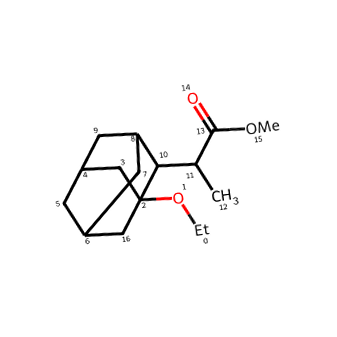 CCOC12CC3CC(CC(C3)C1C(C)C(=O)OC)C2